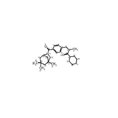 CN(Cc1ccc(C(=O)N2CC3(C)CC2CC(C)(C)C3)cc1)C(=O)C1CCCCC1